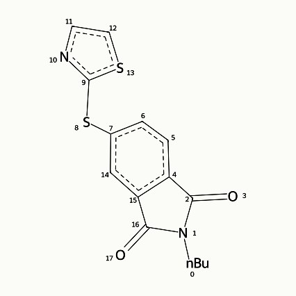 CCCCN1C(=O)c2ccc(Sc3nccs3)cc2C1=O